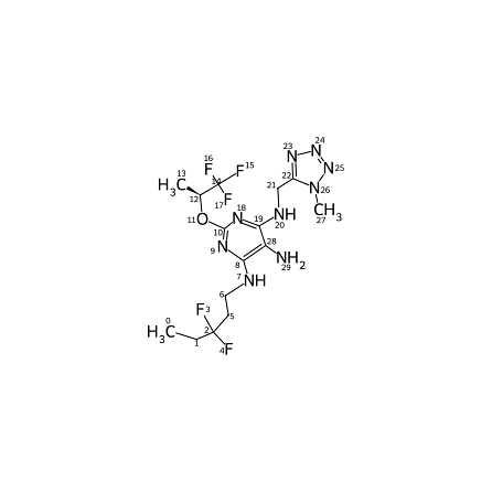 CCC(F)(F)CCNc1nc(O[C@@H](C)C(F)(F)F)nc(NCc2nnnn2C)c1N